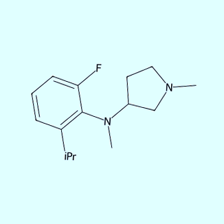 CC(C)c1cccc(F)c1N(C)C1CCN(C)C1